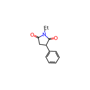 CCN1C(=O)CC(c2ccccc2)C1=O